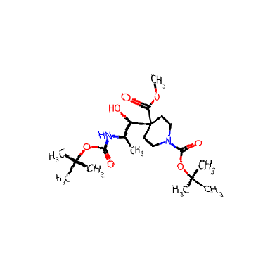 COC(=O)C1(C(O)C(C)NC(=O)OC(C)(C)C)CCN(C(=O)OC(C)(C)C)CC1